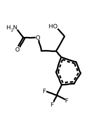 NC(=O)OCC(CO)c1cccc(C(F)(F)F)c1